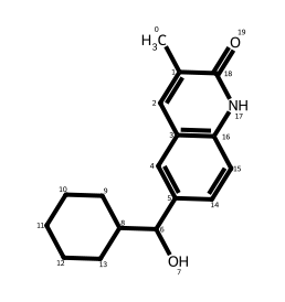 Cc1cc2cc(C(O)C3CCCCC3)ccc2[nH]c1=O